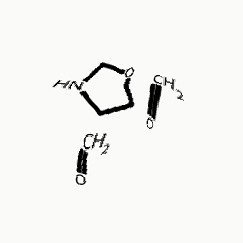 C1COCN1.C=O.C=O